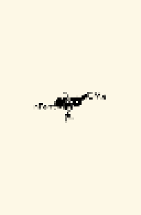 CCCCCc1ccc(C(=O)N(Cc2cccc(C#CCOC)c2)C2CCN(CCC(C)C)CC2)cc1